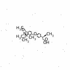 CC#CC(CC(=O)O)c1ccc(OCc2ccc3c(COC)nn(CC(C)C)c3c2C)cc1